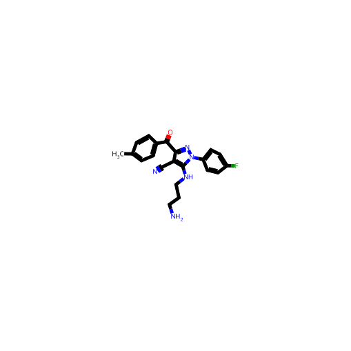 Cc1ccc(C(=O)c2nn(-c3ccc(F)cc3)c(NCCCN)c2C#N)cc1